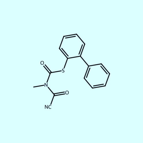 CN(C(=O)C#N)C(=O)Sc1ccccc1-c1ccccc1